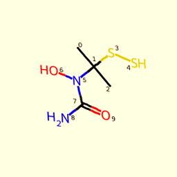 CC(C)(SS)N(O)C(N)=O